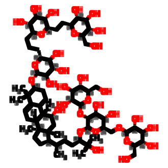 C[C@H](CC[C@@H](O[C@@H]1O[C@H](CO[C@@H]2O[C@H](CO)[C@@H](O)[C@H](O)[C@H]2O)[C@@H](O)[C@H](O)[C@H]1O[C@@H]1O[C@H](CO)[C@@H](O)[C@H](O)[C@H]1O)C(C)(C)O)[C@H]1CC[C@@]2(C)[C@@H]3CC=C4C(CC[C@H](O[C@@H]5O[C@H](CCC[C@@H]6O[C@H](CC[C@@H]7O[C@H](CO)[C@@H](O)[C@H](O)[C@H]7O)[C@@H](O)[C@H](O)[C@H]6O)[C@@H](O)[C@H](O)[C@H]5O)C4(C)C)[C@]3(C)[C@H](O)C[C@]12C